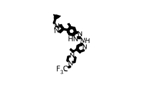 Cc1cc2nc(Nc3cc(C(C)N4CCN(CC(F)(F)F)CC4)ccn3)[nH]c2cc1-c1cnn(CC2CC2)c1